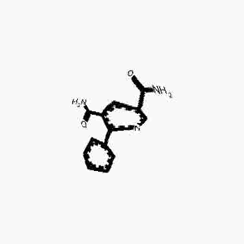 NC(=O)c1cnc(-c2ccccc2)c(C(N)=O)c1